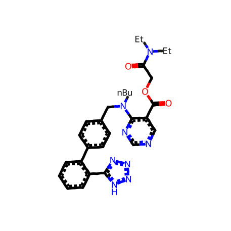 CCCCN(Cc1ccc(-c2ccccc2-c2nnn[nH]2)cc1)c1ncncc1C(=O)OCC(=O)N(CC)CC